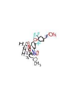 COC(=O)c1cc(Oc2ccc(/C=C/O)cc2C(F)(F)F)c(F)cc1N(C(=O)[C@H]1CC[C@H](C)CC1)C(C)C